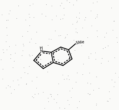 [CH2]Sc1ccc2cc[nH]c2c1